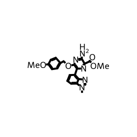 COC(=O)c1nc(-c2cccc3c2ncn3C)c(OCc2ccc(OC)cc2)nc1N